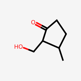 CC1CCC(=O)C1CO